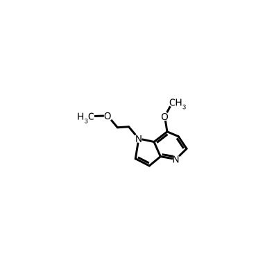 COCCn1ccc2nccc(OC)c21